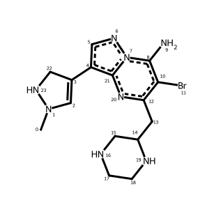 CN1C=C(c2cnn3c(N)c(Br)c(CC4CNCCN4)nc23)CN1